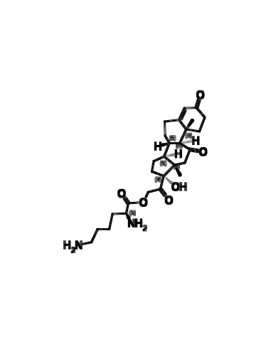 C[C@]12CCC(=O)C=C1CC[C@@H]1[C@@H]2C(=O)C[C@@]2(C)[C@H]1CC[C@]2(O)C(=O)COC(=O)[C@@H](N)CCCCN